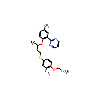 Cc1cc(SCCC(C)Oc2ccc(C(F)(F)F)cc2-c2ncccn2)ccc1OCC(=O)O